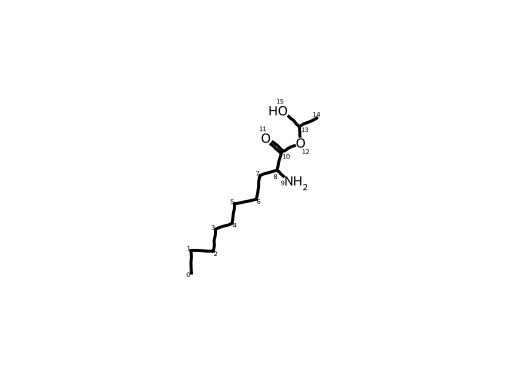 CCCCCCCCC(N)C(=O)OC(C)O